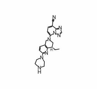 CC[C@@H]1CN(c2ccc(C#N)c3ncnn23)Cc2ccc(N3CCNCC3)nc21